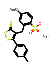 COc1ccc(S(=O)(=O)[O-])c(Cc2c(-c3ccc(C)cc3)ssc2=S)c1.[Na+]